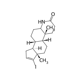 C[C@]12CCC(=O)NC1CC[C@@H]1[C@H]2CC[C@]2(C)C(I)=CC[C@@H]12